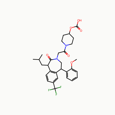 COc1ccccc1C1CN(CC(=O)N2CCC(OC(=O)O)CC2)C(=O)C(CC(C)C)c2ccc(C(F)(F)F)cc21